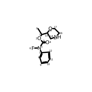 CC(OC(=O)N(F)c1ccccc1)C1CNCCO1